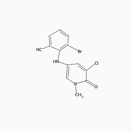 Cn1cc(Nc2c(Br)[c]ccc2C#N)cc(Cl)c1=O